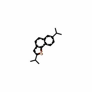 CC(C)c1ccc2c(ccc3cc(C(C)C)sc32)c1